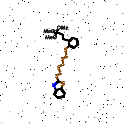 CO[Si](CCc1ccccc1SSSSSSSc1nc2ccccc2s1)(OC)OC